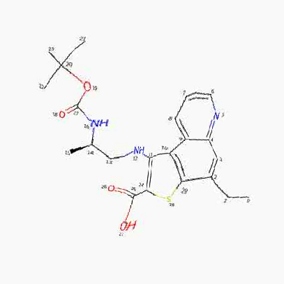 CCc1cc2ncccc2c2c(NC[C@@H](C)NC(=O)OC(C)(C)C)c(C(=O)O)sc12